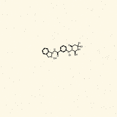 CC[C@H](c1cccc(C(=O)N[C@@H]2c3ccccc3C[C@H]2O)c1)N1C(=N)NC(CC)(CC)CC1=O